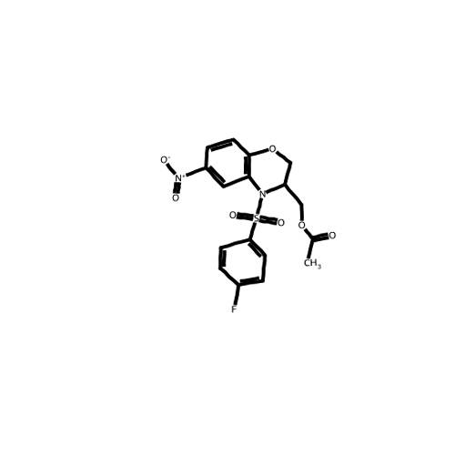 CC(=O)OCC1COc2ccc([N+](=O)[O-])cc2N1S(=O)(=O)c1ccc(F)cc1